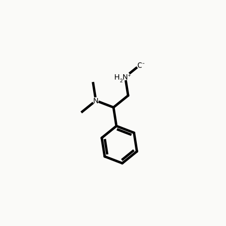 [CH2-][NH2+]CC(c1ccccc1)N(C)C